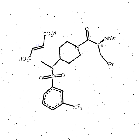 CN[C@@H](CC(C)C)C(=O)N1CCC(N(C)S(=O)(=O)c2cccc(C(F)(F)F)c2)CC1.O=C(O)/C=C/C(=O)O